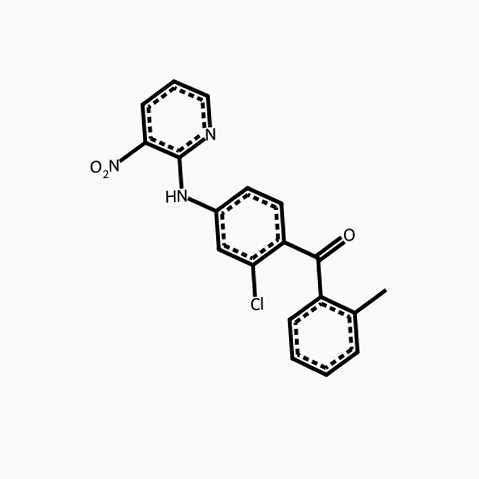 Cc1ccccc1C(=O)c1ccc(Nc2ncccc2[N+](=O)[O-])cc1Cl